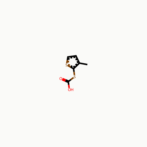 Cc1ccsc1SC(=O)O